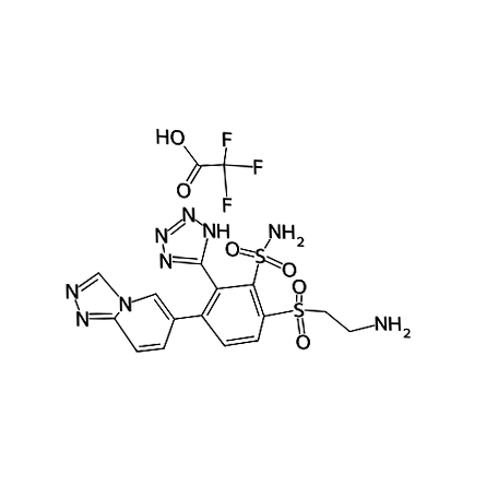 NCCS(=O)(=O)c1ccc(-c2ccc3nncn3c2)c(-c2nnn[nH]2)c1S(N)(=O)=O.O=C(O)C(F)(F)F